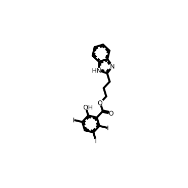 O=C(OCCCc1nc2ccccc2[nH]1)c1c(O)c(I)cc(I)c1I